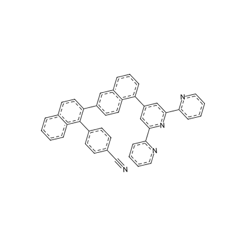 N#Cc1ccc(-c2c(-c3ccc4c(-c5cc(-c6ccccn6)nc(-c6ccccn6)c5)cccc4c3)ccc3ccccc23)cc1